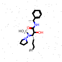 CC(C)CCC[C@@H](C(O)C(=O)N[C@H](C)c1ccccc1)N(C(=O)O)N1CCCC1